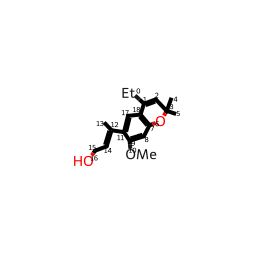 CCC1=CC(C)(C)Oc2cc(OC)c(C(C)=CCO)cc21